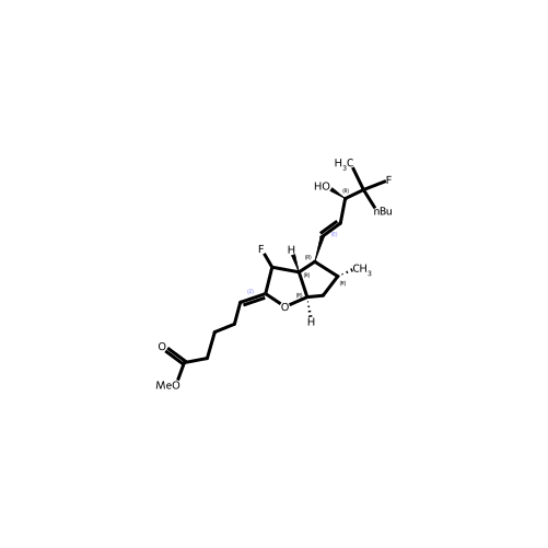 CCCCC(C)(F)[C@H](O)/C=C/[C@@H]1[C@H]2C(F)/C(=C/CCCC(=O)OC)O[C@@H]2C[C@H]1C